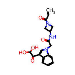 C=CC(=O)N1CC(NC(=O)Cn2cc(C(=O)C(O)O)c3ccccc32)C1